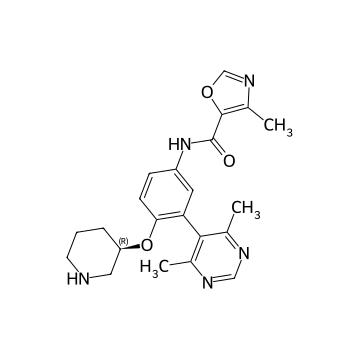 Cc1ncoc1C(=O)Nc1ccc(O[C@@H]2CCCNC2)c(-c2c(C)ncnc2C)c1